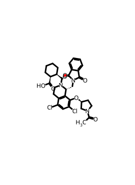 CC(=O)N1CC[C@H](Oc2c(Cl)cc(Cl)c3c2[C@@H](CN2C(=O)c4ccccc4C2=O)N(C(=O)[C@@H]2CCCC[C@@H]2C(=O)O)CC3)C1